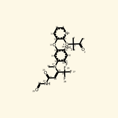 CC(=O)C(C)(C)Oc1ncccc1Oc1cc(N(C)/C(=C\C(=O)NC=O)C(F)(F)F)c(F)cc1N